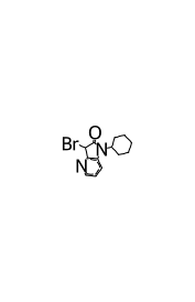 O=C1C(Br)c2ncccc2N1C1CCCCC1